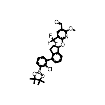 COc1nc(OC2CCc3c(-c4cccc(B5OC(C)(C)C(C)(C)O5)c4Cl)cccc32)c(C(F)(F)F)cc1C=O